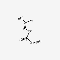 CCCOC(=O)OC=C(C)CCC